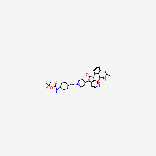 CC(C)N(C)C(=O)c1cc(F)ccc1-n1c(=O)n(C2CCN(CCC3CCC(NC(=O)OC(C)(C)C)CC3)CC2)c2ccncc21